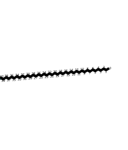 CCCCCCCCCCCCCCCCCCCCCCCCCCCCC[CH]CCCCCCCCCCCF